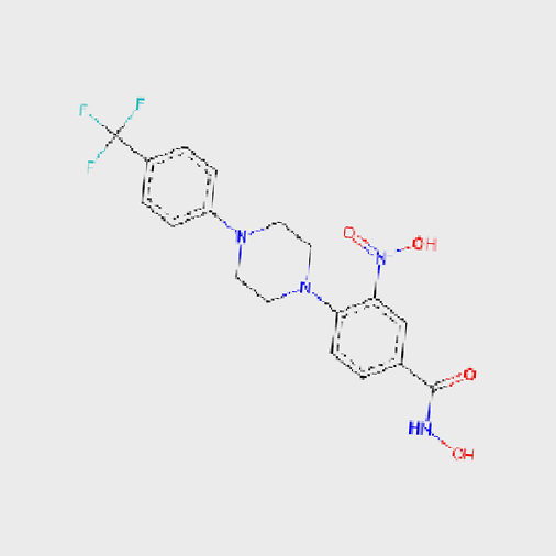 O=C(NO)c1ccc(N2CCN(c3ccc(C(F)(F)F)cc3)CC2)c([N+](=O)O)c1